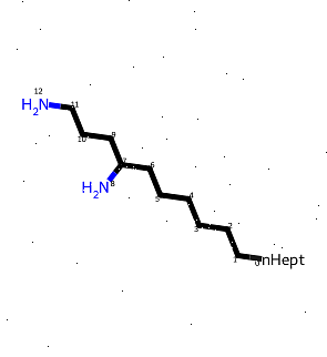 CCCCCCCCCCCCCC(N)CCCN